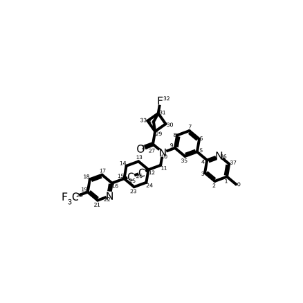 Cc1ccc(-c2cccc(N(CC34CCC(c5ccc(C(F)(F)F)cn5)(CC3)CC4)C(=O)C34CC(F)(C3)C4)c2)nc1